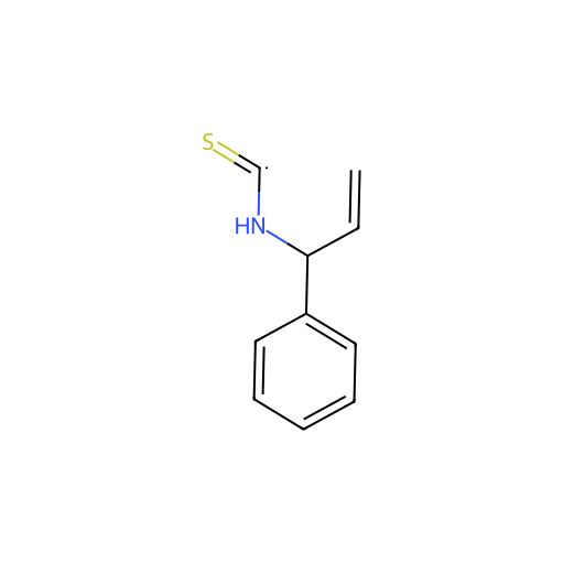 C=CC(N[C]=S)c1ccccc1